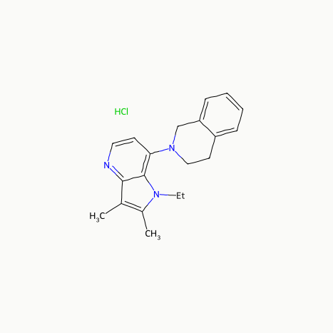 CCn1c(C)c(C)c2nccc(N3CCc4ccccc4C3)c21.Cl